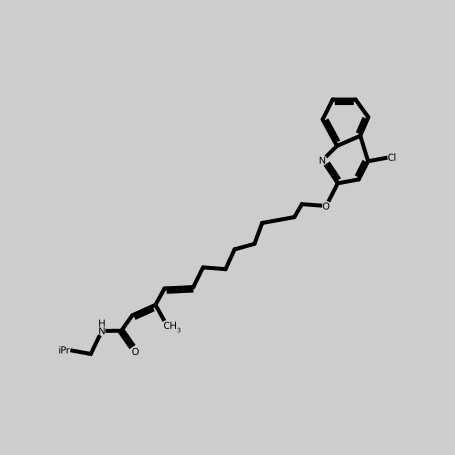 CC(/C=C/CCCCCCCOc1cc(Cl)c2ccccc2n1)=C\C(=O)NCC(C)C